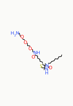 CCCCCCCCCN1C(=O)NC2(C)CS[C@@H](CCCCCC(=O)NCCOCCCOCCOCCN)C12C